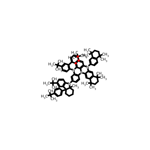 CC(C)(C)c1ccc(C23CCCCC2(C)N(c2ccc4c(c2)N(c2ccc(C(C)(C)C)cc2-c2ccccc2)c2cc(C(C)(C)C)cc5c2B4c2cc4c(cc2N5c2ccc5c(c2)C(C)(C)CCC5(C)C)C(C)(C)CCC4(C)C)c2ccc(C(C)(C)C)cc23)cc1